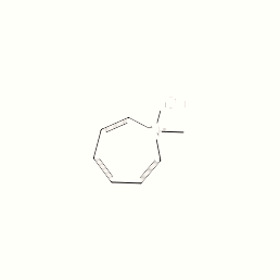 CCCC[N+]1(C)C=CC=CC=C1